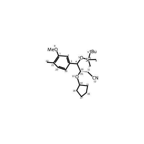 COc1cc(C(O[Si](C)(C)C(C)(C)C)[C@H](CC#N)OC2CCCC2)ccc1C